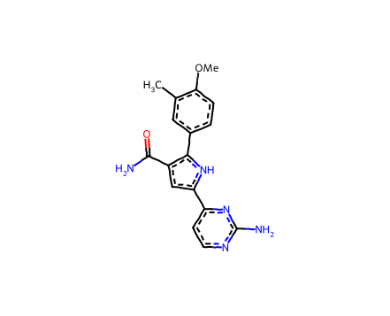 COc1ccc(-c2[nH]c(-c3ccnc(N)n3)cc2C(N)=O)cc1C